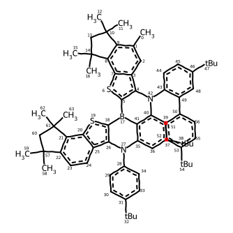 Cc1cc2c3c(sc2c2c1C(C)(C)CC2(C)C)B1c2sc4c5c(ccc4c2N(c2ccc(C(C)(C)C)cc2)c2cc(C(C)(C)C)cc(c21)N3c1ccc(C(C)(C)C)cc1-c1ccc(C(C)(C)C)cc1)C(C)(C)CC5(C)C